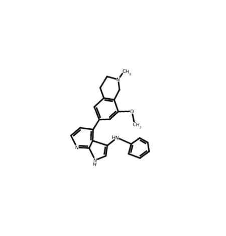 COc1cc(-c2ccnc3[nH]cc(Nc4ccccc4)c23)cc2c1CN(C)CC2